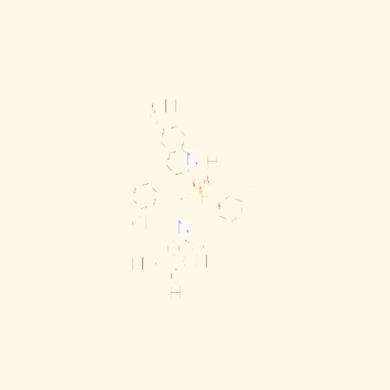 COc1nc2ccc(SC)cc2cc1C(c1cccc(Cl)c1)C1(O)CCN(C(=O)OC(C)(C)C)C(Cc2ccc(F)cc2F)C1